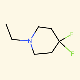 CCN1CCC(F)(F)CC1